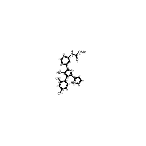 COC(=O)Nc1cc(-c2sc(-c3ccc[nH]3)c(-c3ccc(Cl)cc3Cl)c2C#N)ccn1